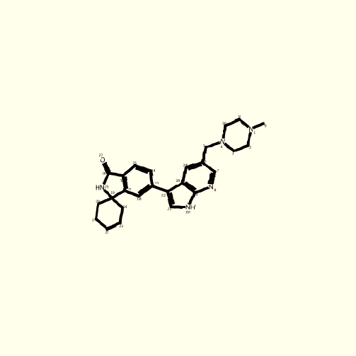 CN1CCN(Cc2cnc3[nH]cc(-c4ccc5c(c4)C4(CCCCC4)NC5=O)c3c2)CC1